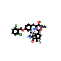 COC(=O)[C@H](Cc1ccc(OCc2c(Cl)cccc2Cl)cc1)NC(=O)C1CCC(C)(C(N)=O)C1(C)C